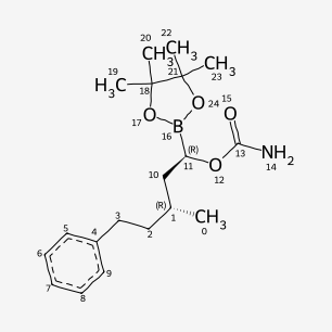 C[C@H](CCc1ccccc1)C[C@H](OC(N)=O)B1OC(C)(C)C(C)(C)O1